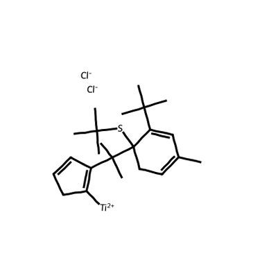 CC1=CCC(SC(C)(C)C)(C(C)(C)C2=[C]([Ti+2])CC=C2)C(C(C)(C)C)=C1.[Cl-].[Cl-]